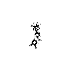 Cc1ccc(N(C)c2ncc(B3OC(C)(C)C(C)(C)O3)cn2)cc1C